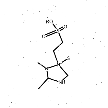 CC1NC[N+]([S-])(CCS(=O)(=O)O)N1C